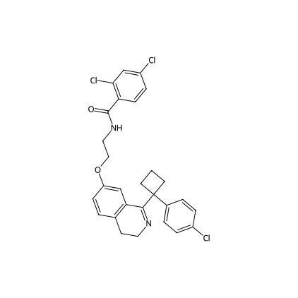 O=C(NCCOc1ccc2c(c1)C(C1(c3ccc(Cl)cc3)CCC1)=NCC2)c1ccc(Cl)cc1Cl